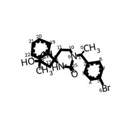 C[C@@H](c1ccc(Br)cc1)N1CCC(CC(C)(C)O)(c2ccccc2)NC1=O